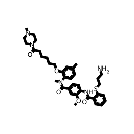 COc1cc(C(=O)N(C)c2ccc(C)cc2OCCCCCC(=O)N2CCN(C)CC2)ccc1NC(=O)c1ccccc1SCCCN